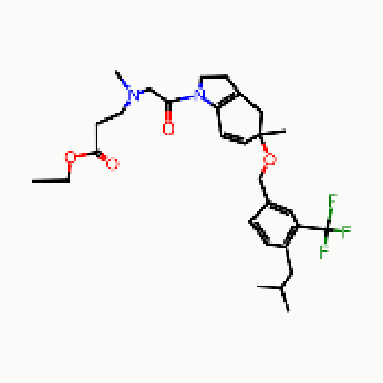 CCOC(=O)CCN(C)CC(=O)N1CCC2=C1C=CC(C)(OCc1ccc(CC(C)C)c(C(F)(F)F)c1)C2